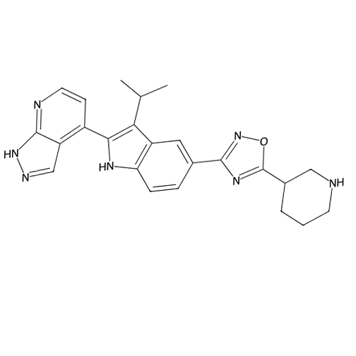 CC(C)c1c(-c2ccnc3[nH]ncc23)[nH]c2ccc(-c3noc(C4CCCNC4)n3)cc12